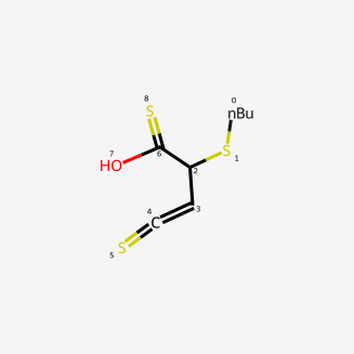 CCCCSC(C=C=S)C(O)=S